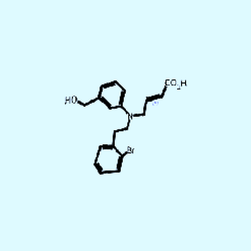 O=C(O)/C=C/CN(CCc1ccccc1Br)c1cccc(CO)c1